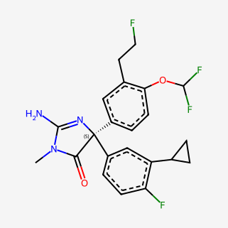 CN1C(=O)[C@](c2ccc(OC(F)F)c(CCF)c2)(c2ccc(F)c(C3CC3)c2)N=C1N